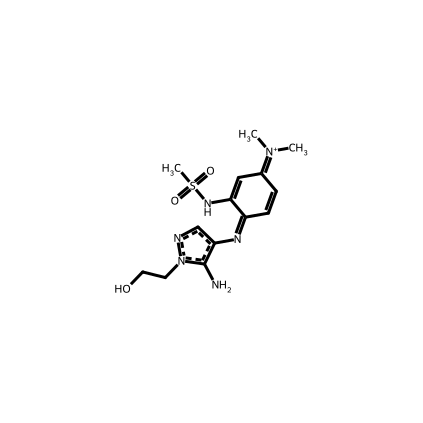 C[N+](C)=C1C=C/C(=N/c2cnn(CCO)c2N)C(NS(C)(=O)=O)=C1